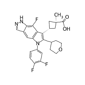 C[C@]1(C(=O)O)C[C@H](c2c(C3CCOCC3)n(-c3ccc(F)c(F)c3)c3cc4cn[nH]c4c(F)c32)C1